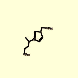 CCCCCCCCCCCCC(C)[n+]1ccn(CCCCCCCCCCC)c1